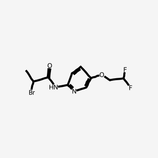 CC(Br)C(=O)Nc1ccc(OCC(F)F)cn1